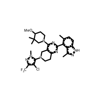 COC1CCN(c2nc(-c3c(C)ccc4[nH]nc(C)c34)nc3c2CN(c2c(Cl)c(C(F)(F)F)nn2C)CC3)CC1(C)C